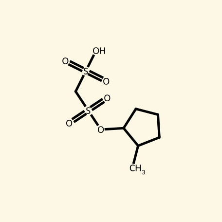 CC1CCCC1OS(=O)(=O)CS(=O)(=O)O